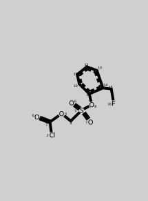 O=C(Cl)OCS(=O)(=O)Oc1ccccc1CF